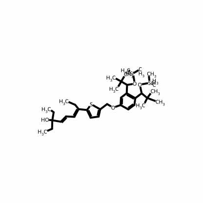 CCC(=CC=CC(O)(CC)CC)c1ccc(COc2ccc(C(O[SiH](C)C)C(C)(C)C)c(C(O[SiH](C)C)C(C)(C)C)c2)s1